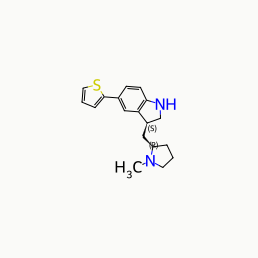 CN1CCC[C@@H]1C[C@@H]1CNc2ccc(-c3cccs3)cc21